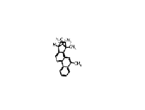 Cc1cc2c3c(cnc2c2ccccc12)[C@@H]1CC[C@@]3(C)C1(C)C